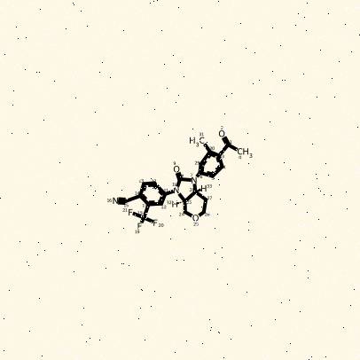 CC(=O)c1ccc(N2C(=O)N(c3ccc(C#N)c(C(F)(F)F)c3)[C@@H]3COCC[C@H]32)cc1C